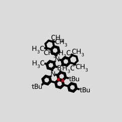 Cc1cc2c3c(c1)N(c1ccc(C(C)(C)C)cc1-c1ccc(-c4ccc(C(C)(C)C)cc4)cc1)c1ccc(C(C)(C)C)cc1B3c1cc3c(cc1N2c1ccc2c(c1)C(C)(C)CCC2(C)C)C(C)(C)CCC3(C)C